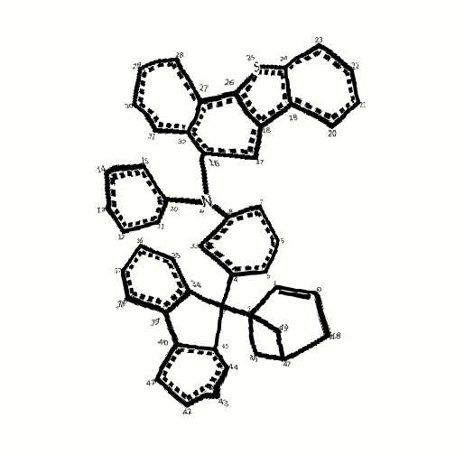 C1=CC2(C3(c4cccc(N(c5ccccc5)c5cc6c7ccccc7sc6c6ccccc56)c4)c4ccccc4-c4ccccc43)CC(C1)C2